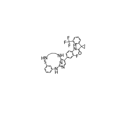 O=C(Nc1ccc(-c2cnc3nc2NCCCNSc2cccc(c2)N3)cc1F)C1(c2cccc(C(F)(F)F)c2)CC1